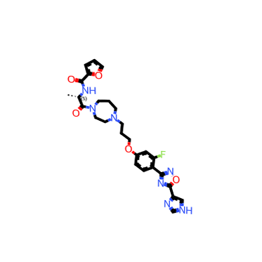 C[C@H](NC(=O)c1ccco1)C(=O)N1CCCN(CCCOc2ccc(-c3noc(-c4c[nH]cn4)n3)c(F)c2)CC1